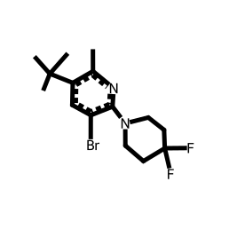 Cc1nc(N2CCC(F)(F)CC2)c(Br)cc1C(C)(C)C